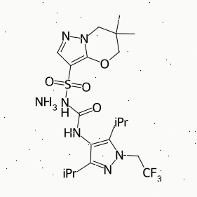 CC(C)c1nn(CC(F)(F)F)c(C(C)C)c1NC(=O)NS(=O)(=O)c1cnn2c1OCC(C)(C)C2.N